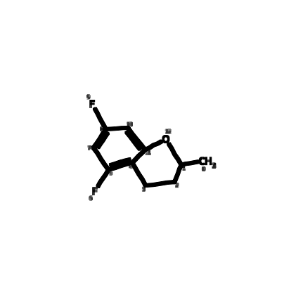 CC1CCc2c(F)cc(F)cc2O1